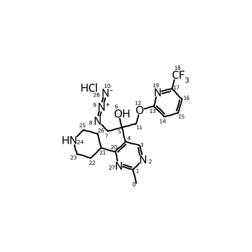 Cc1ncc(C(O)(CN=[N+]=[N-])COc2cccc(C(F)(F)F)n2)c(C2CCNCC2)n1.Cl